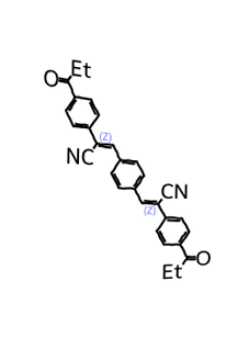 CCC(=O)c1ccc(/C(C#N)=C/c2ccc(/C=C(\C#N)c3ccc(C(=O)CC)cc3)cc2)cc1